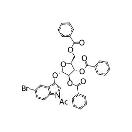 CC(=O)n1cc(O[C@@H]2O[C@@H](COC(=O)c3ccccc3)[C@H](OC(=O)c3ccccc3)[C@H]2OC(=O)c2ccccc2)c2cc(Br)ccc21